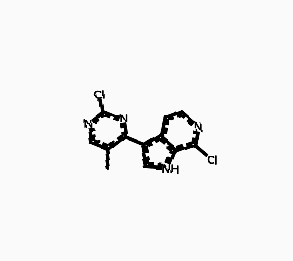 Cc1cnc(Cl)nc1-c1c[nH]c2c(Cl)nccc12